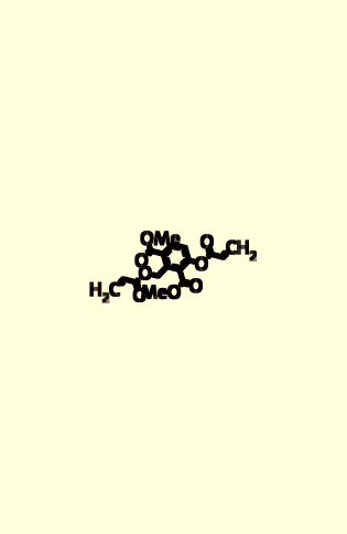 C=CC(=O)OCc1c(C(=O)OC)ccc(OC(=O)C=C)c1C(=O)OC